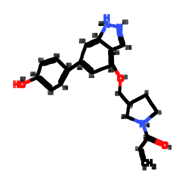 C=CC(=O)N1CCC(COc2cc(-c3ccc(O)cc3)cc3[nH]ncc23)C1